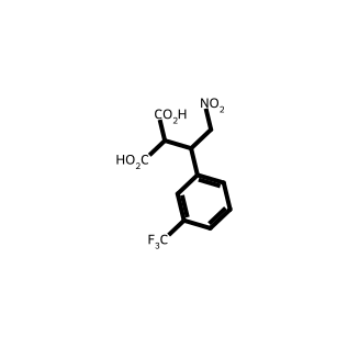 O=C(O)C(C(=O)O)C(C[N+](=O)[O-])c1cccc(C(F)(F)F)c1